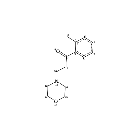 Cc1ccccc1C(=O)CCN1CCOCC1